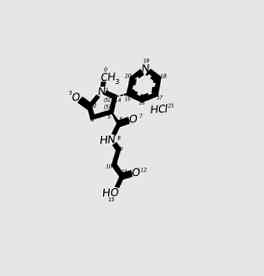 CN1C(=O)C[C@H](C(=O)NCCC(=O)O)[C@H]1c1cccnc1.Cl